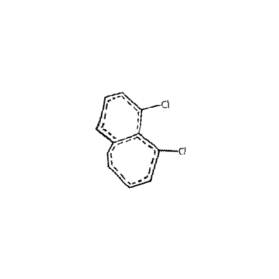 Clc1cccc2cccc(Cl)c12